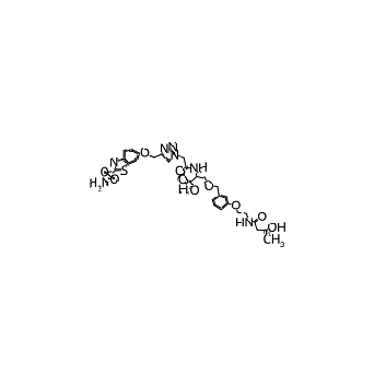 C[C@H](O)CC(=O)NCCOc1cccc(COCC(NC(=O)Cn2cc(COc3ccc4nc(S(N)(=O)=O)sc4c3)nn2)C(=O)O)c1